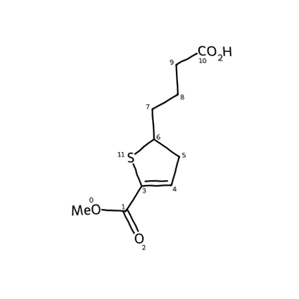 COC(=O)C1=CCC(CCCC(=O)O)S1